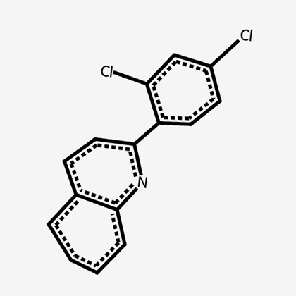 Clc1ccc(-c2ccc3ccccc3n2)c(Cl)c1